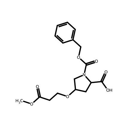 COC(=O)CCOC1CC(C(=O)O)N(C(=O)OCc2ccccc2)C1